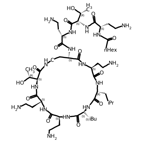 CCCCCCC(=O)N[C@@H](CCN)C(=O)N[C@H](C(=O)N[C@@H](CCN)C(=O)N[C@H]1CCNC(=O)[C@H]([C@@H](C)O)NC(=O)[C@H](CCN)NC(=O)[C@H](CCN)NC(=O)[C@H]([C@@H](C)CC)NC(=O)[C@@H](CC(C)C)NC(=O)[C@H](CCN)NC1=O)[C@@H](C)O